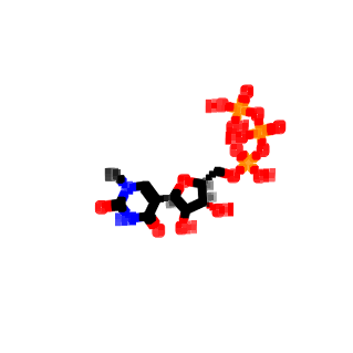 CCn1cc([C@@H]2O[C@H](COP(=O)(O)OP(=O)(O)OP(=O)(O)O)[C@H](O)C2O)c(=O)[nH]c1=O